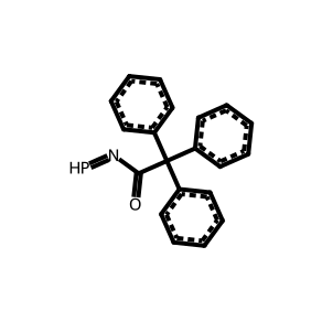 O=C(N=P)C(c1ccccc1)(c1ccccc1)c1ccccc1